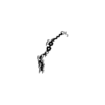 CCCCCCCCOc1ccc(-c2ccc(OC[C@@H](F)COCC(F)(F)OC(F)(F)C(F)(F)OC(F)(F)C(F)(F)OC(F)(F)F)cc2)c(F)c1F